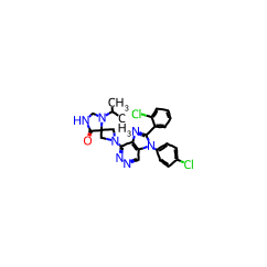 CC(C)N1CNC(=O)C12CN(c1nncc3c1nc(-c1ccccc1Cl)n3-c1ccc(Cl)cc1)C2